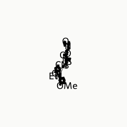 CCN(C[C@H]1C(=O)CC(C#N)[C@@H]1CCSc1nc(C(=O)OCCN2CCOCC2)cs1)c1cccc(OC)c1